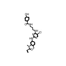 C=CC(=O)N(C)c1cc(Nc2ncc(Cl)c(NCCCNC(=O)c3ccc(O)cc3)n2)ccc1F